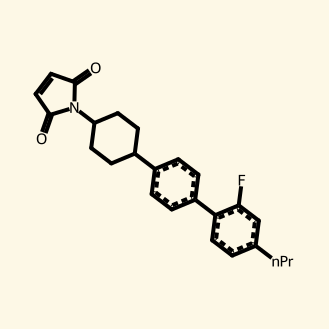 CCCc1ccc(-c2ccc(C3CCC(N4C(=O)C=CC4=O)CC3)cc2)c(F)c1